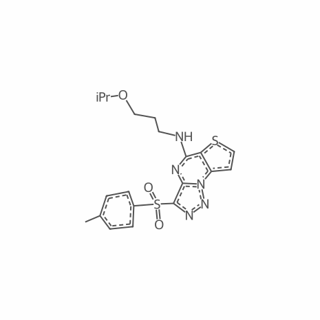 Cc1ccc(S(=O)(=O)c2nnn3c2nc(NCCCOC(C)C)c2sccc23)cc1